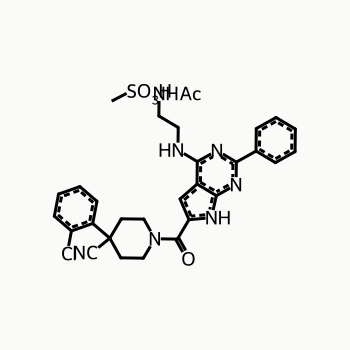 CC(=O)NCCNc1nc(-c2ccccc2)nc2[nH]c(C(=O)N3CCC(C#N)(c4ccccc4Cl)CC3)cc12.CS(=O)(=O)O